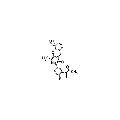 COc1cccc(Cn2c(=O)c(C)nn(-c3ccc(F)c(NC(C)=O)c3)c2=O)c1